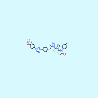 CCc1cc(C)ccc1N1C(=O)CS/C1=N\C(=S)NC(C)Cc1ccc(-c2ncn(-c3ccc(OC(F)(F)F)cc3)n2)cc1